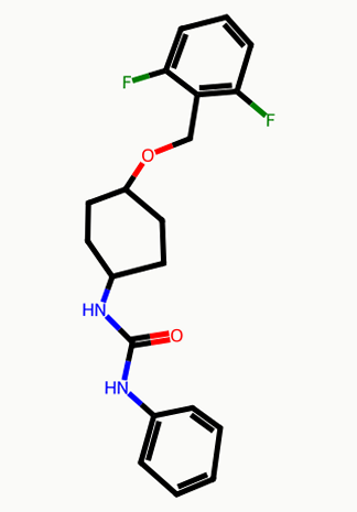 O=C(Nc1ccccc1)NC1CCC(OCc2c(F)cccc2F)CC1